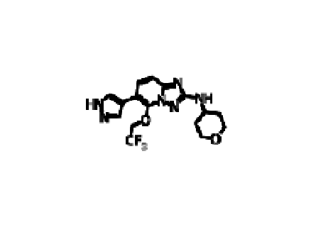 FC(F)(F)COc1c(-c2cn[nH]c2)ccc2nc(NC3CCOCC3)nn12